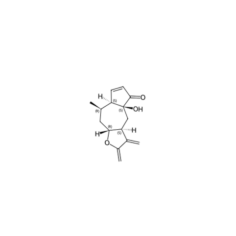 C=C1O[C@@H]2C[C@@H](C)[C@H]3C=CC(=O)[C@]3(O)C[C@H]2C1=C